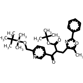 Cc1oc(-c2ccccc2)nc1CC(C(=O)OC(C)(C)C)C(=O)c1ccc(CO[Si](C)(C)C(C)(C)C)nc1